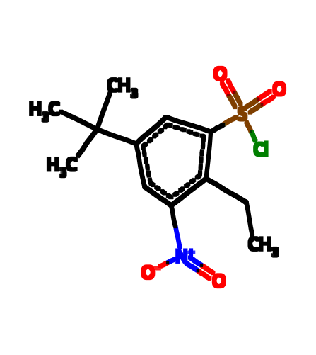 CCc1c([N+](=O)[O-])cc(C(C)(C)C)cc1S(=O)(=O)Cl